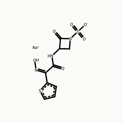 O=C(NC1CN(S(=O)(=O)[O-])C1=O)C(=NO)c1cccs1.[Na+]